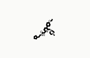 CCOc1ccc(-c2ccc(CC(=O)NCCC3CCCC3)nc2CN2CCN(C)CC2)cc1